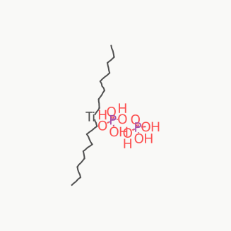 CCCCCCC[CH2][Ti][CH2]CCCCCCC.O=P(O)(O)O.O=P(O)(O)O